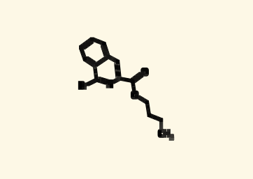 CCCCOC(=O)c1cc2ccccc2c(Br)n1